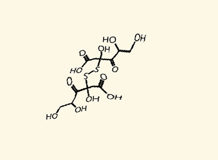 O=C(O)C(O)(SSC(O)(C(=O)O)C(=O)C(O)CO)C(=O)C(O)CO